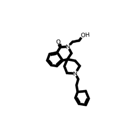 O=C1c2ccccc2C2(CCN(CCC3C=CC=CC3)CC2)CN1CCO